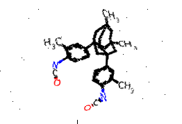 Cc1cc(C23CC4(C)CC(C)(C2)CC(c2ccc(N=C=O)c(C)c2)(C4)C3)ccc1N=C=O